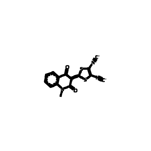 [C-]#[N+]C1=C([N+]#[C-])SC(=C2C(=O)c3ccccc3N(C)C2=O)S1